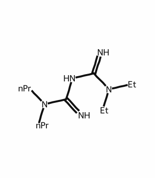 CCCN(CCC)C(=N)NC(=N)N(CC)CC